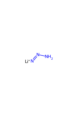 [Li+].[N-]=NN